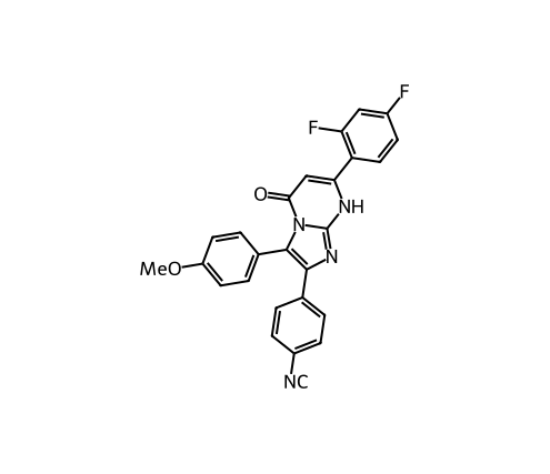 [C-]#[N+]c1ccc(-c2nc3[nH]c(-c4ccc(F)cc4F)cc(=O)n3c2-c2ccc(OC)cc2)cc1